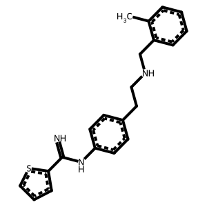 Cc1ccccc1CNCCc1ccc(NC(=N)c2cccs2)cc1